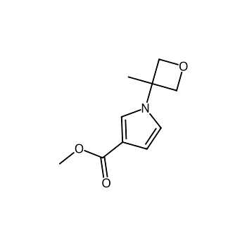 COC(=O)c1ccn(C2(C)COC2)c1